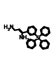 NC/C=C(\N)c1cccc([Si](c2ccccc2)(c2ccccc2)c2ccccc2)c1